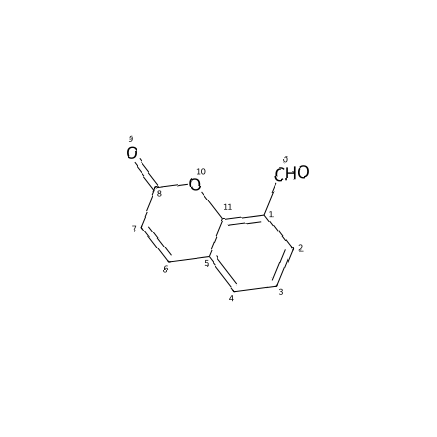 O=Cc1cccc2ccc(=O)oc12